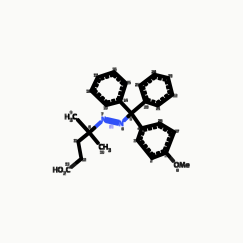 COc1ccc(C(/N=N/C(C)(C)CCC(=O)O)(c2ccccc2)c2ccccc2)cc1